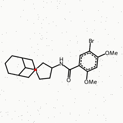 COc1cc(OC)c(C(=O)NC2CCN(C3C4CCCC3CCC4)C2)cc1Br